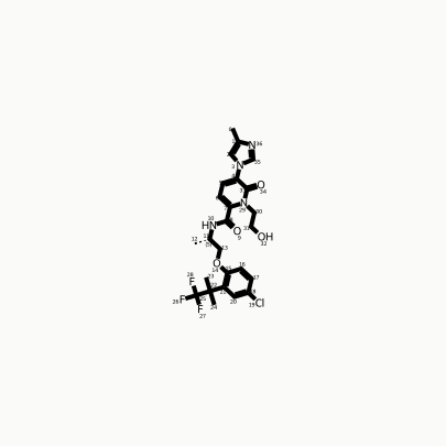 Cc1cn(-c2ccc(C(=O)N[C@@H](C)COc3ccc(Cl)cc3C(C)(C)C(F)(F)F)n(CCO)c2=O)cn1